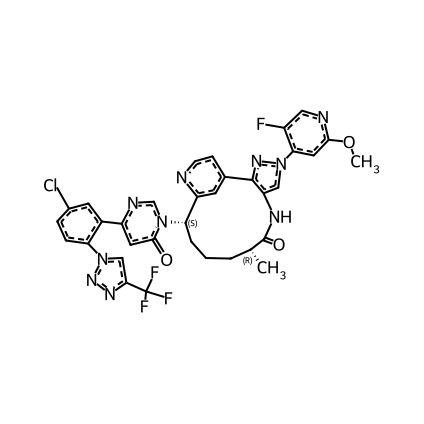 COc1cc(-n2cc3c(n2)-c2ccnc(c2)[C@@H](n2cnc(-c4cc(Cl)ccc4-n4cc(C(F)(F)F)nn4)cc2=O)CCC[C@@H](C)C(=O)N3)c(F)cn1